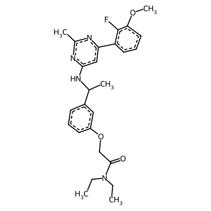 CCN(CC)C(=O)COc1cccc(C(C)Nc2cc(-c3cccc(OC)c3F)nc(C)n2)c1